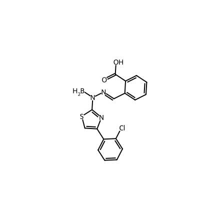 BN(/N=C/c1ccccc1C(=O)O)c1nc(-c2ccccc2Cl)cs1